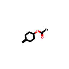 C=C1CCC(OC(=O)CC)CC1